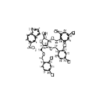 O=[N+]([O-])c1ccc2[nH]ccc2c1.OC1O[C@H](COCc2ccc(Cl)cc2Cl)[C@@H](OCc2ccc(Cl)cc2Cl)[C@H]1OCc1ccc(Cl)cc1Cl